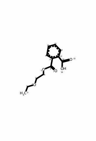 CCOCCOC(=O)c1ccccc1C(=O)O